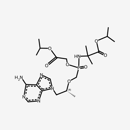 CC(C)OC(=O)COP(=O)(CO[C@H](C)Cn1cnc2c(N)ncnc21)NC(C)(C)C(=O)OC(C)C